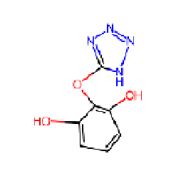 Oc1cccc(O)c1Oc1nnn[nH]1